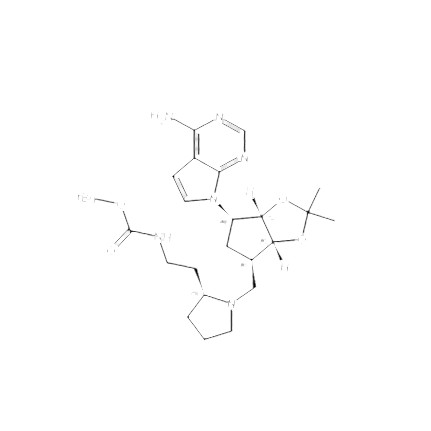 CC(C)(C)OC(=O)NCC[C@@H]1CCCN1C[C@H]1C[C@@H](n2ccc3c(N)ncnc32)[C@@H]2OC(C)(C)O[C@H]12